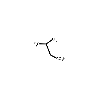 O=C(O)CC(C(F)(F)F)C(F)(F)F